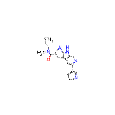 CCCN(C)C(=O)c1cnc2[nH]c3cnc(-c4cccnc4)cc3c2c1